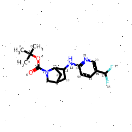 CC(C)(C)OC(=O)N1CC2CC(Nc3ccc(C(F)F)cn3)C1C2